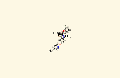 Cc1ccc(COc2ccc3c(c2)c(SC(C)(C)C)c(C(O)(Cc2cccc(Cl)c2)C(=O)O)n3C)nc1